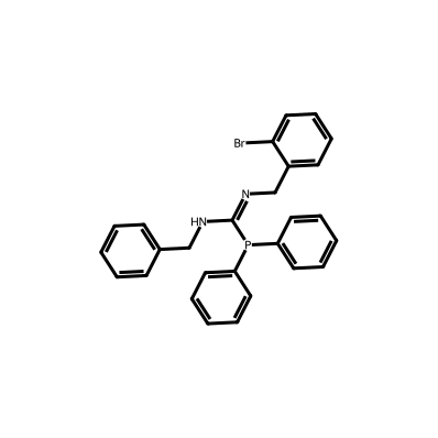 Brc1ccccc1C/N=C(/NCc1ccccc1)P(c1ccccc1)c1ccccc1